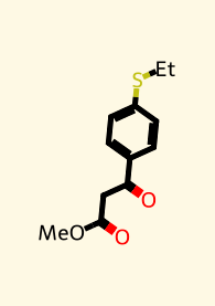 CCSc1ccc(C(=O)CC(=O)OC)cc1